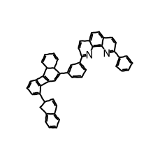 C1=CC2C(c3cccc(-c4ccc5ccc6ccc(-c7ccccc7)nc6c5n4)c3)=CC3=C(c4cccc(C5C=Cc6ccccc6C5)c43)C2C=C1